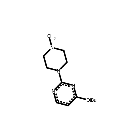 CC(C)COc1ccnc(N2CCN(C)CC2)n1